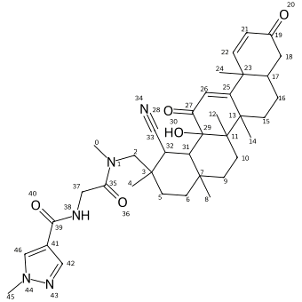 CN(CC1(C)CCC2(C)CCC3(C)C4(C)CCC5CC(=O)C=CC5(C)C4=CC(=O)C3(O)C2C1C#N)C(=O)CNC(=O)c1cnn(C)c1